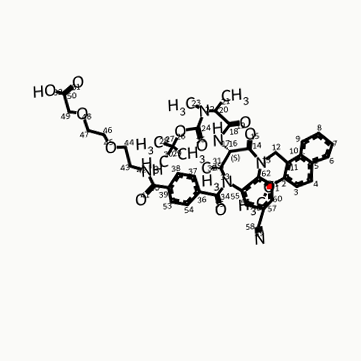 COc1ccc2ccccc2c1CN1C(=O)[C@@H](NC(=O)C(C)N(C)C(=O)OC(C)(C)C)[C@H](C)N(C(=O)c2ccc(C(=O)NCCOCCOCC(=O)O)cc2)c2cc(C#N)ccc21